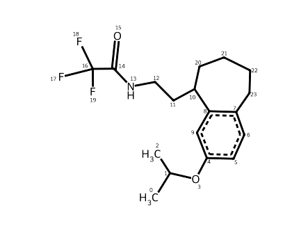 CC(C)Oc1ccc2c(c1)C(CCNC(=O)C(F)(F)F)CCCC2